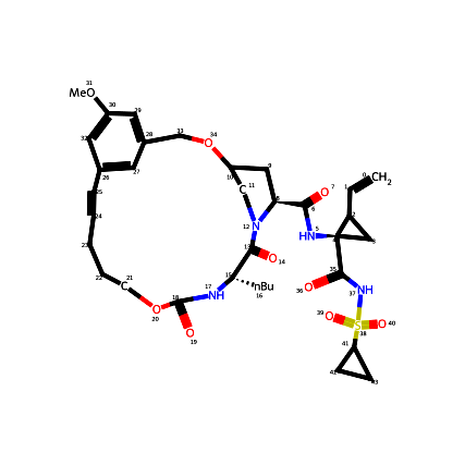 C=CC1C[C@]1(NC(=O)[C@@H]1CC2CN1C(=O)[C@H](CCCC)NC(=O)OCCC/C=C/c1cc(cc(OC)c1)CO2)C(=O)NS(=O)(=O)C1CC1